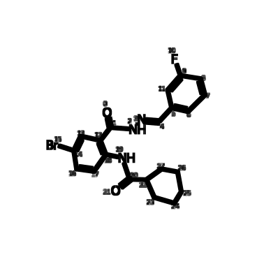 O=C(NN=Cc1cccc(F)c1)c1cc(Br)ccc1NC(=O)C1CCCCC1